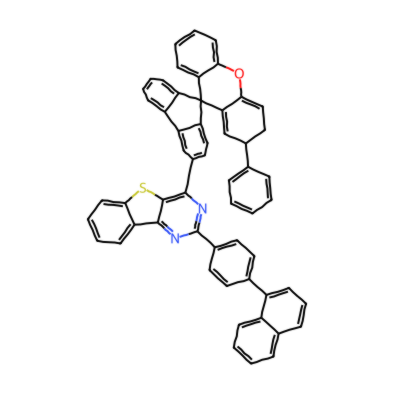 C1=C2Oc3ccccc3C3(C2=CC(c2ccccc2)C1)c1ccccc1-c1cc(-c2nc(-c4ccc(-c5cccc6ccccc56)cc4)nc4c2sc2ccccc24)ccc13